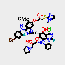 COc1c(OCC(O)CN2CCCC2)c(Nc2ccccc2)c2nc(F)nc(Cl)c2c1O.COc1cc2c(Nc3ccc(Br)cc3F)ncnc2cc1OCC(O)CSc1nccn1C